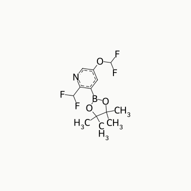 CC1(C)OB(c2cc(OC(F)F)cnc2C(F)F)OC1(C)C